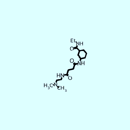 CCNC(=O)C1CCCC(NC(=O)CCC(=O)NCCN(C)C)C1